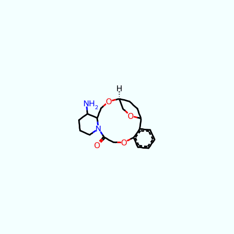 NC1CCCN2C(=O)COc3ccccc3C3CC[C@@H](CO3)OCC12